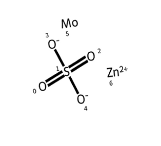 O=S(=O)([O-])[O-].[Mo].[Zn+2]